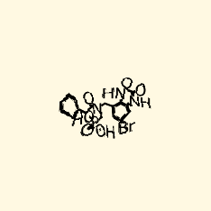 O=C(Cc1ccccc1)N(Cc1cc(Br)cc2[nH]c(=O)c(=O)[nH]c12)CP(=O)(O)O